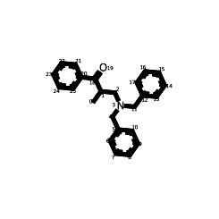 CC(CN(Cc1ccccc1)Cc1ccccc1)C(=O)c1ccccc1